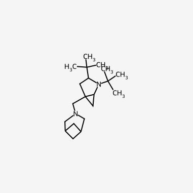 CC(C)(C)C1CC2(CN3CC4CC(C4)C3)CC2N1C(C)(C)C